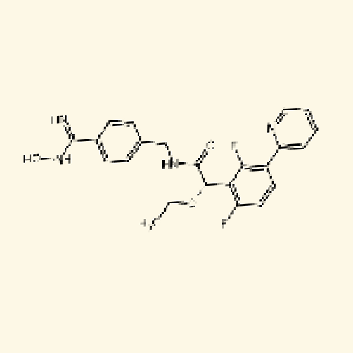 CCO[C@H](C(=O)NCc1ccc(C(=N)NO)cc1)c1c(F)ccc(-c2ccccn2)c1F